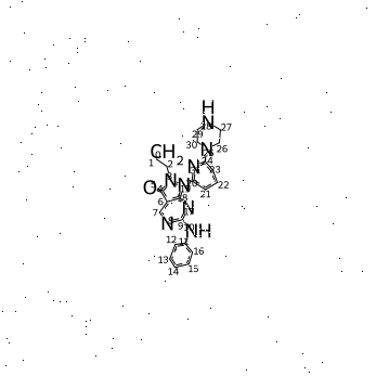 C=CCn1c(=O)c2cnc(Nc3ccccc3)nc2n1-c1cccc(N2CCNCC2)n1